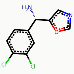 N[C@@H](c1ccc(Cl)c(Cl)c1)c1cnco1